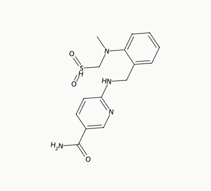 CN(C[SH](=O)=O)c1ccccc1CNc1ccc(C(N)=O)cn1